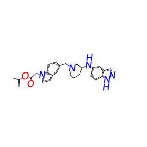 C=C(C)OC(=O)Cn1ccc2cc(CN3CCCC(Nc4ccc5[nH]ncc5c4)C3)ccc21